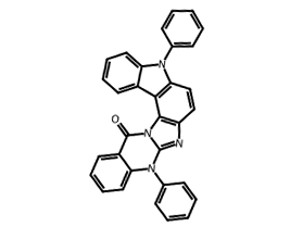 O=c1c2ccccc2n(-c2ccccc2)c2nc3ccc4c(c5ccccc5n4-c4ccccc4)c3n12